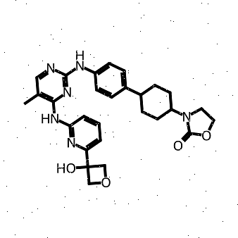 Cc1cnc(Nc2ccc(C3CCC(N4CCOC4=O)CC3)cc2)nc1Nc1cccc(C2(O)COC2)n1